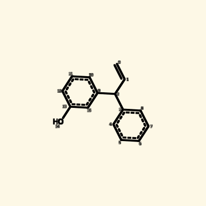 C=CC(c1ccccc1)c1cccc(O)c1